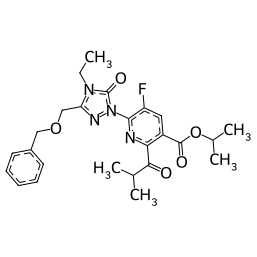 CCn1c(COCc2ccccc2)nn(-c2nc(C(=O)C(C)C)c(C(=O)OC(C)C)cc2F)c1=O